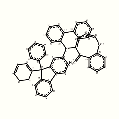 C=C1/C(N(c2ccc3c(c2)C(C2=CC=CCC2)(c2ccccc2)c2ccccc2-3)c2ccccc2-c2ccccc2)=C\C=C/Oc2ccccc21